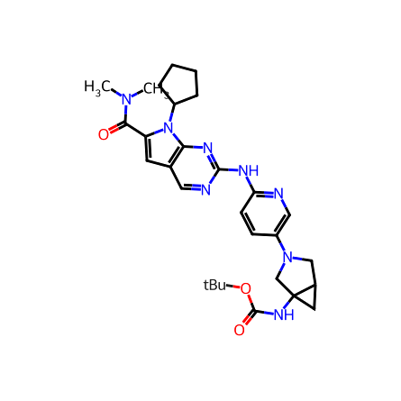 CN(C)C(=O)c1cc2cnc(Nc3ccc(N4CC5CC5(NC(=O)OC(C)(C)C)C4)cn3)nc2n1C1CCCC1